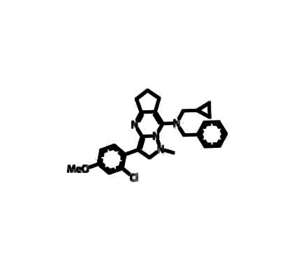 COc1ccc(C2=C3N=C4CCCC4=C(N(Cc4ccccc4)CC4CC4)N3N(C)C2)c(Cl)c1